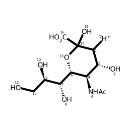 [2H]C1[C@H](O)[C@@H](NC(C)=O)[C@H]([C@H](O)[C@H](O)CO)OC1(O)C(=O)O